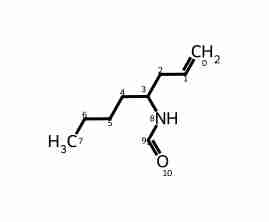 C=CCC(CCCC)N[C]=O